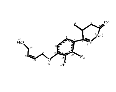 CC1CC(=O)NN=C1c1ccc(OC/C=C\CO)c(F)c1F